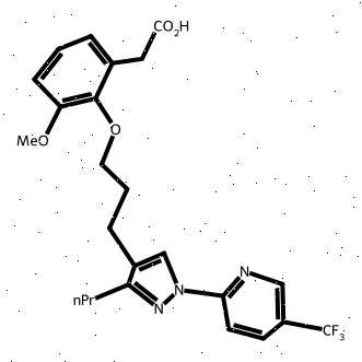 CCCc1nn(-c2ccc(C(F)(F)F)cn2)cc1CCCOc1c(CC(=O)O)cccc1OC